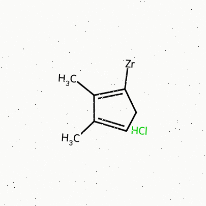 CC1=CC[C]([Zr])=C1C.Cl